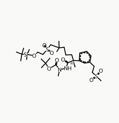 CN(NC(=O)[C@](C)(CCCC(C)(C)CS(=O)(=O)CCO[Si](C)(C)C(C)(C)C)c1cccc(CCS(C)(=O)=O)c1)C(=O)OC(C)(C)C